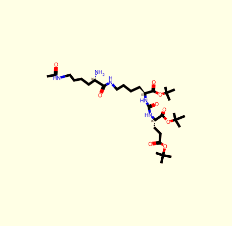 CC(=O)NCCCC[C@H](N)C(=O)NCCCC[C@H](NC(=O)N[C@@H](CCC(=O)OC(C)(C)C)C(=O)OC(C)(C)C)C(=O)OC(C)(C)C